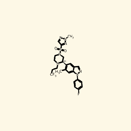 Cc1cc2c(cnn2-c2ccc(F)cc2)cc1[C@@H]1CN(S(=O)(=O)c2cnn(C)n2)CCN1CCC(F)(F)F